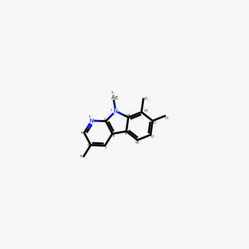 CC(=O)n1c2ncc(C)cc2c2ccc(C)c(C)c21